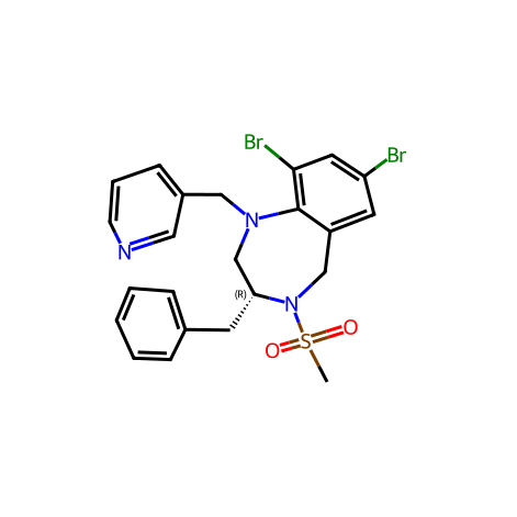 CS(=O)(=O)N1Cc2cc(Br)cc(Br)c2N(Cc2cccnc2)C[C@H]1Cc1ccccc1